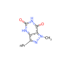 CCCc1nn(C)c2c(=O)[nH]c(=O)[nH]c12